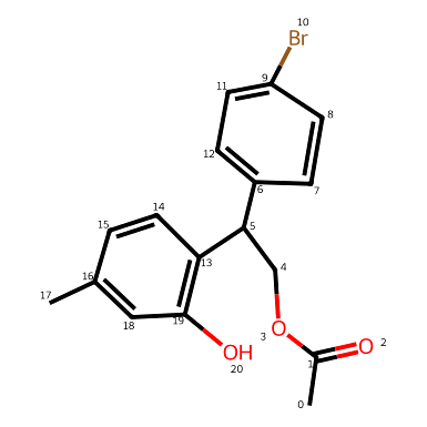 CC(=O)OCC(c1ccc(Br)cc1)c1ccc(C)cc1O